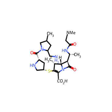 CNCC(=O)N[C@H](C)[C@H]1C(=O)N2C(C(=O)O)=C(S[C@@H]3CN[C@H](C(=O)N4CC(C)CC4CN)C3)[C@H](C)[C@H]12